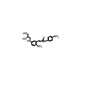 Nc1ccc(NC(=O)C=Cc2cc(NCC(O)CO)ccc2N)cc1